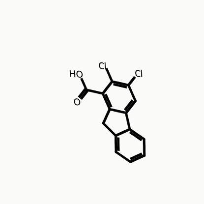 O=C(O)c1c(Cl)c(Cl)cc2c1Cc1ccccc1-2